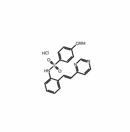 COc1ccc(S(=O)(=O)Nc2ccccc2/C=C/c2ccncn2)cc1.Cl